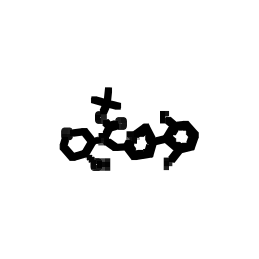 CC(C)(C)OC(=O)N(Cc1ccc(-c2c(F)cccc2F)cn1)[C@@H]1COCC[C@H]1O